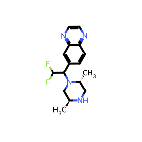 C[C@@H]1CN[C@@H](C)CN1C(c1ccc2nccnc2c1)C(F)F